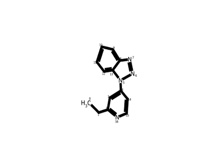 CCc1cc(-n2nnc3ccccc32)ccn1